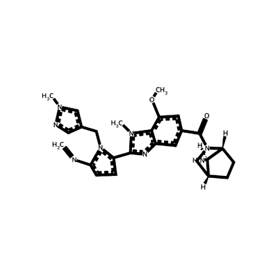 C=Nc1ccc(-c2nc3cc(C(=O)N4C[C@H]5CC[C@@H]4[C@@H]5N)cc(OC)c3n2C)n1Cc1cnn(C)c1